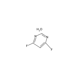 Fc1cc(F)ncn1.O